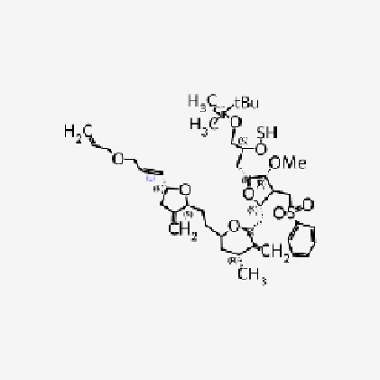 C=CCOC/C=C/[C@H]1CC(=C)[C@H](CCC2C[C@@H](C)C(=C)[C@@H](C[C@@H]3O[C@H](C[C@@H](CO[Si](C)(C)C(C)(C)C)OS)[C@H](OC)C3CS(=O)(=O)c3ccccc3)O2)O1